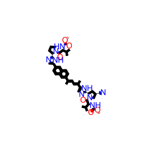 COC(=O)N[C@H](C(=O)N1C[C@@H](C#N)C[C@H]1c1ncc(/C(C)=C/C=C(\C)c2ccc3cc(-c4cnc([C@@H]5CCCN5C(=O)[C@@H](NC(=O)OC)C(C)C)[nH]4)ccc3c2)[nH]1)C(C)C